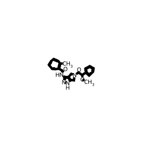 COC(C(=O)N1Cc2[nH]nc(NC(=O)C3=C(C)/C=C\C=C/C=C\3)c2C1)c1ccccc1